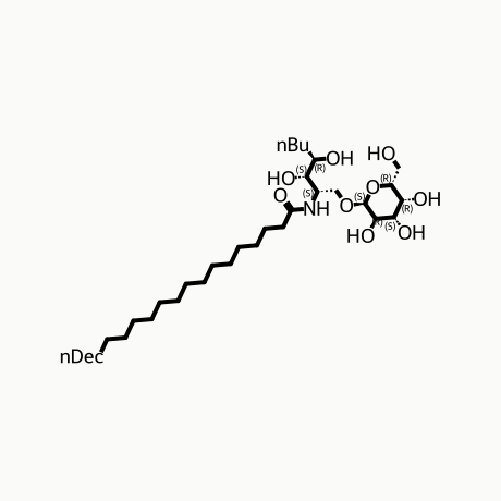 CCCCCCCCCCCCCCCCCCCCCCCCC(=O)N[C@@H](CO[C@H]1O[C@H](CO)[C@H](O)[C@H](O)[C@H]1O)[C@H](O)[C@H](O)CCCC